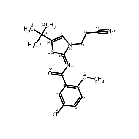 COc1ccc(Cl)cc1C(=O)N=c1sc(C(C)(C)C)cn1CCC#N